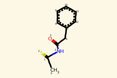 CC(=S)NC(=O)Cc1ccccc1